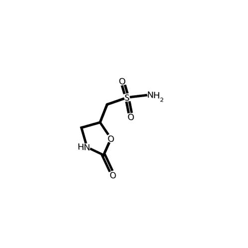 NS(=O)(=O)CC1CNC(=O)O1